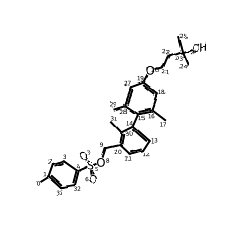 Cc1ccc(S(=O)(=O)OCc2cccc(-c3c(C)cc(OCCC(C)(C)O)cc3C)c2C)cc1